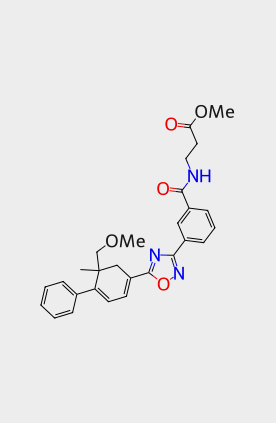 COCC1(C)CC(c2nc(-c3cccc(C(=O)NCCC(=O)OC)c3)no2)=CC=C1c1ccccc1